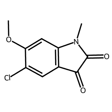 COc1cc2c(cc1Cl)C(=O)C(=O)N2C